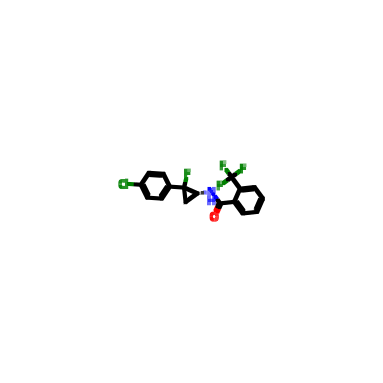 O=C(N[C@@H]1CC1(F)c1ccc(Cl)cc1)c1ccccc1C(F)(F)F